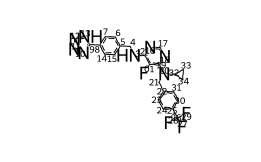 Fc1c(NCc2ccc(-c3nnn[nH]3)cc2)ncnc1N(Cc1ccc(C(F)(F)F)cc1)C1CC1